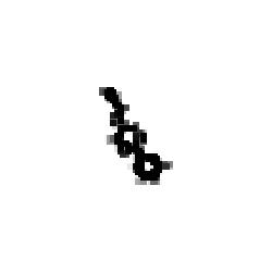 C#CCOC1COC(c2ccccc2)OC1